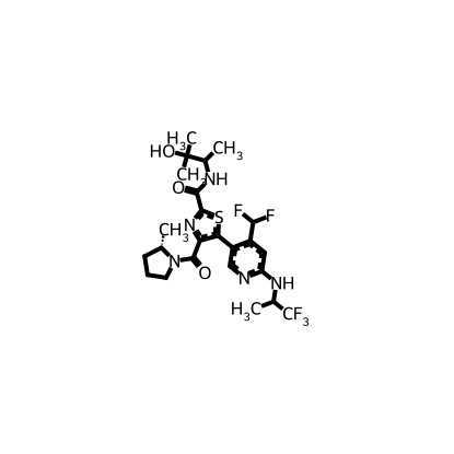 CC(NC(=O)c1nc(C(=O)N2CCC[C@@H]2C)c(-c2cnc(NC(C)C(F)(F)F)cc2C(F)F)s1)C(C)(C)O